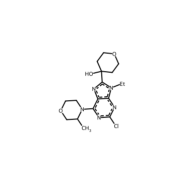 CCn1c(C2(O)CCOCC2)nc2c(N3CCOCC3C)nc(Cl)nc21